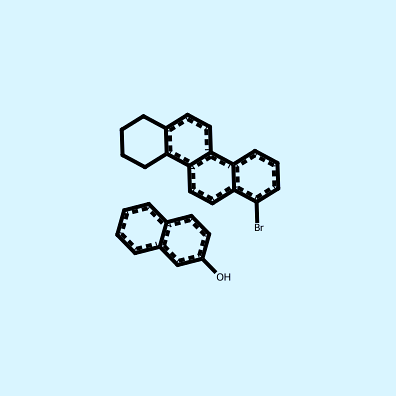 Brc1cccc2c1ccc1c3c(ccc12)CCCC3.Oc1ccc2ccccc2c1